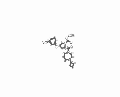 CC(C)(C)OC(=O)N1C[C@@H](Oc2cccc(C#N)c2)C[C@@H]1C(=O)N1CCCN(C2CCC2)CC1